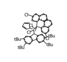 CC(C)(C)c1cc2c(cc1C(C)(C)C)[CH]([Zr]([Cl])([Cl])(=[C](c1cc(Cl)cc3ccccc13)c1cc(Cl)cc3ccccc13)[CH]1C=CC=C1)c1cc(C(C)(C)C)c(C(C)(C)C)cc1-2